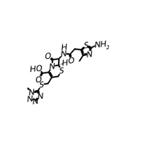 Cc1nc(N)sc1CC(=O)NC1C(=O)N2C(C(=O)O)=C(CSc3nnnn3C)CS[C@H]12